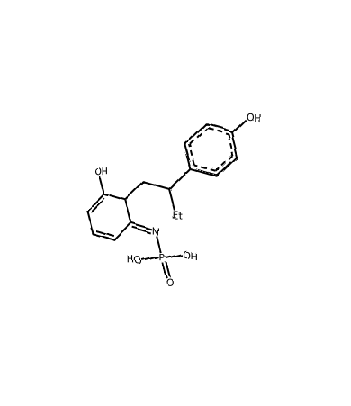 CCC(CC1C(O)=CC=CC1=NP(=O)(O)O)c1ccc(O)cc1